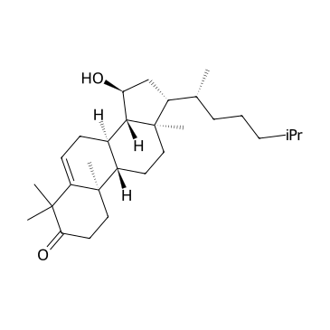 CC(C)CCC[C@@H](C)[C@H]1C[C@H](O)[C@H]2[C@@H]3CC=C4C(C)(C)C(=O)CC[C@]4(C)[C@H]3CC[C@@]21C